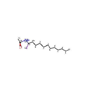 CCCCCCCCCCCC(I)NC(C)=O